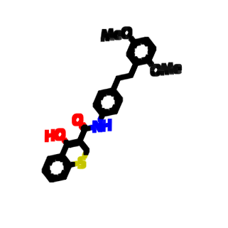 COc1ccc(OC)c(CCc2ccc(NC(=O)C3=C(O)c4ccccc4SC3)cc2)c1